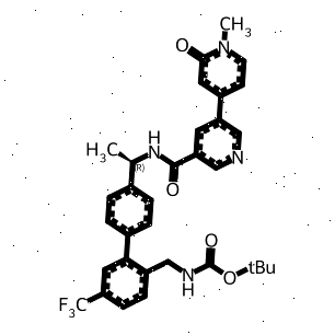 C[C@@H](NC(=O)c1cncc(-c2ccn(C)c(=O)c2)c1)c1ccc(-c2cc(C(F)(F)F)ccc2CNC(=O)OC(C)(C)C)cc1